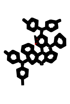 Cc1ccc(N(c2ccc(C)cc2)c2cc3c(c4ccccc24)B2c4c(cccc4N(c4ccccc4)c4cc(N(c5ccc(C)cc5)c5ccc(C)cc5)c5ccccc5c42)O3)cc1